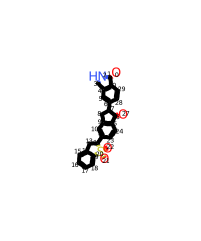 O=C1NCc2cc(C3Cc4cc(C5Cc6ccccc6S5(=O)=O)ccc4C3=O)ccc21